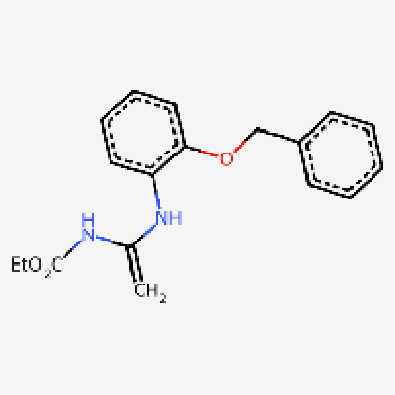 C=C(NC(=O)OCC)Nc1ccccc1OCc1ccccc1